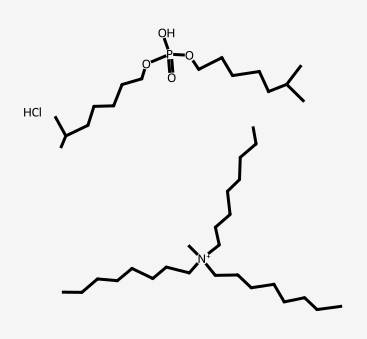 CC(C)CCCCCOP(=O)(O)OCCCCCC(C)C.CCCCCCCC[N+](C)(CCCCCCCC)CCCCCCCC.Cl